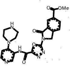 COC(=O)c1ccc2c(c1)C(=O)N(c1nnc(C(=O)Nc3cnccc3N3CCNCC3)o1)C2